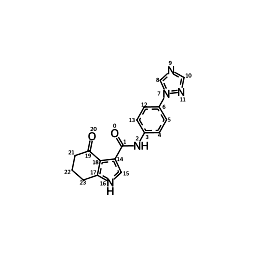 O=C(Nc1ccc(-n2cncn2)cc1)c1c[nH]c2c1C(=O)CCC2